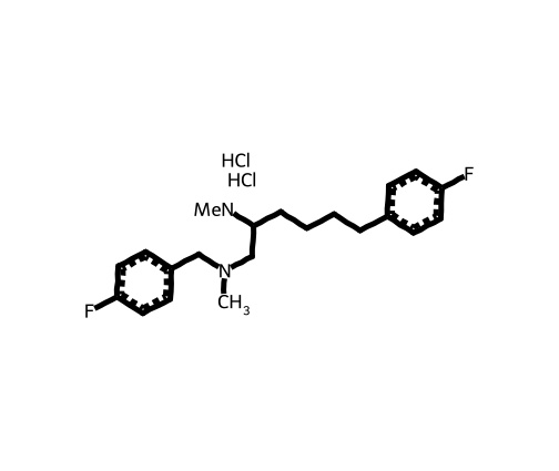 CNC(CCCCc1ccc(F)cc1)CN(C)Cc1ccc(F)cc1.Cl.Cl